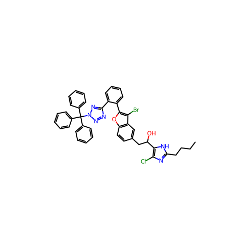 CCCCc1nc(Cl)c(C(O)Cc2ccc3oc(-c4ccccc4-c4nnn(C(c5ccccc5)(c5ccccc5)c5ccccc5)n4)c(Br)c3c2)[nH]1